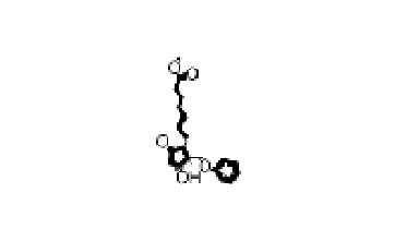 COC(=O)CCCC=CC[C@H]1C(=O)C[C@@H](O)[C@@H]1COc1ccccc1